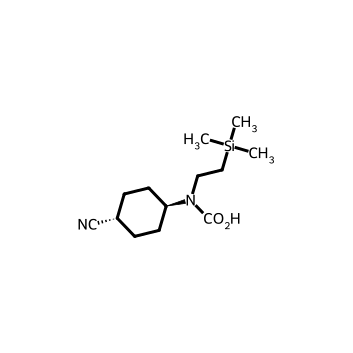 C[Si](C)(C)CCN(C(=O)O)[C@H]1CC[C@H](C#N)CC1